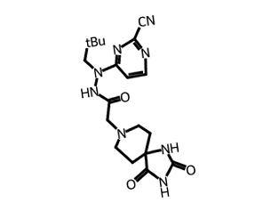 CC(C)(C)CN(NC(=O)CN1CCC2(CC1)NC(=O)NC2=O)c1ccnc(C#N)n1